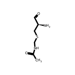 CC(=O)NCSC[C@H](N)C=O